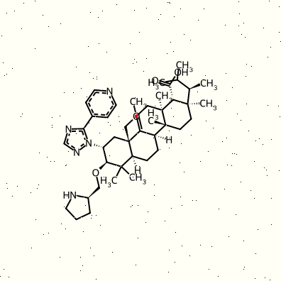 COC[C@]12C[C@@H](n3ncnc3-c3ccncc3)[C@H](OC[C@H]3CCCN3)C(C)(C)[C@@H]1CC[C@H]1C2=CC[C@@]2(C)[C@H](C(=O)O)[C@@](C)([C@H](C)C(C)C)CC[C@]12C